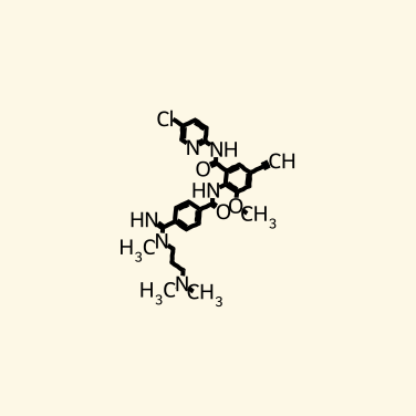 C#Cc1cc(OC)c(NC(=O)c2ccc(C(=N)N(C)CCCN(C)C)cc2)c(C(=O)Nc2ccc(Cl)cn2)c1